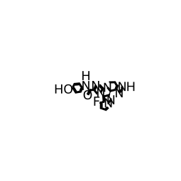 O=C(Nc1ccc(O)cc1)c1cnc(N2CCc3[nH]cnc3[C@H]2c2cc3c(F)cccn3n2)cn1